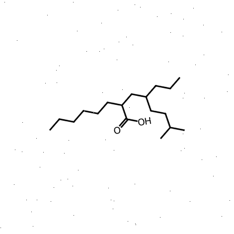 CCCCCCC(CC(CCC)CCC(C)C)C(=O)O